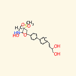 CC(CCc1ccc(-c2ccc(C=CC(O)CO)cc2)cc1)(C(=O)NO)S(C)(=O)=O